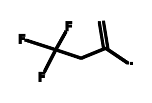 [CH2]C(=C)CC(F)(F)F